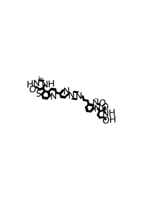 C[C@@H]1CNc2c(sc3ccc4nc(-c5ccc(N6CCN(CCCc7cccc8c7n(C)c(=O)n8C7CCC(O)NC7=O)CC6)nc5)ccc4c23)C(=O)N1